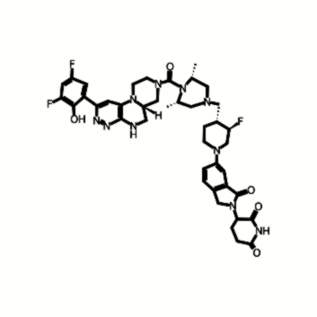 C[C@@H]1CN(C[C@H]2CCN(c3ccc4c(c3)C(=O)N(C3CCC(=O)NC3=O)C4)C[C@@H]2F)C[C@H](C)N1C(=O)N1CCN2c3cc(-c4cc(F)cc(F)c4O)nnc3NC[C@H]2C1